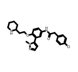 Cn1nccc1-c1cc(NC(=O)Cc2ccc(Cl)cc2)ccc1OCCC1CCCCN1